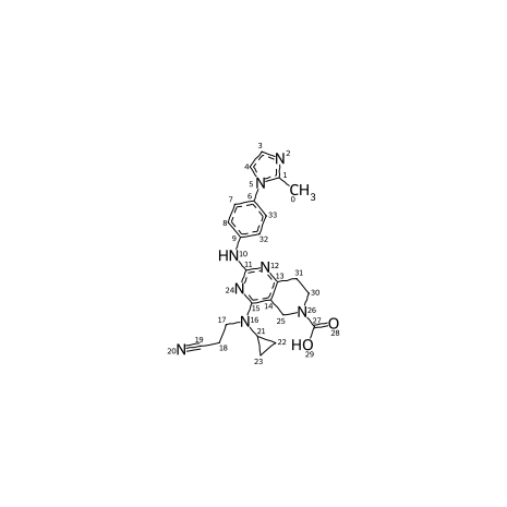 Cc1nccn1-c1ccc(Nc2nc3c(c(N(CCC#N)C4CC4)n2)CN(C(=O)O)CC3)cc1